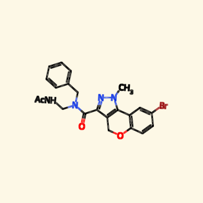 CC(=O)NCN(Cc1ccccc1)C(=O)c1nn(C)c2c1COc1ccc(Br)cc1-2